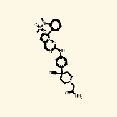 CN(c1ccccc1-c1ccc2cnc(Nc3ccc(C4(C#N)CCN(CC(N)=O)CC4)cc3)nn12)S(C)(=O)=O